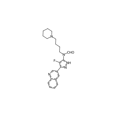 O=CN(CCCCN1CCCCC1)c1[nH]nc(-c2cnc3ccccc3c2)c1F